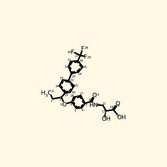 CCC(Oc1ccc(C(=O)NC[C@H](O)C(=O)O)cc1)c1ccc(-c2ccc(C(F)(F)F)cc2)cc1